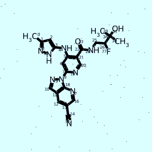 Cc1cc(Nc2cc(-n3ncc4cc(C#N)cnc43)ncc2C(=O)NCC(F)C(C)(C)O)[nH]n1